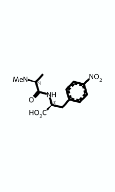 CN[C@@H](C)C(=O)N[C@@H](Cc1ccc([N+](=O)[O-])cc1)C(=O)O